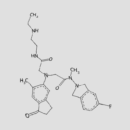 CCNCCNC(=O)CN(CC(=O)N(C)N1Cc2ccc(F)cc2C1)c1cc2c(cc1C)C(=O)CC2